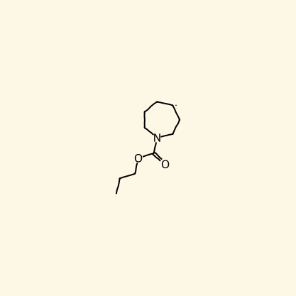 CCCOC(=O)N1CC[CH]CCC1